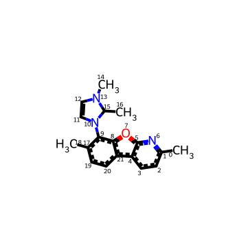 Cc1ccc2c(n1)oc1c(N3C=CN(C)C3C)c(C)ccc12